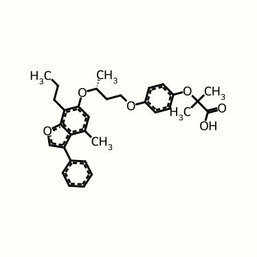 CCCc1c(O[C@H](C)CCOc2ccc(OC(C)(C)C(=O)O)cc2)cc(C)c2c(-c3ccccc3)coc12